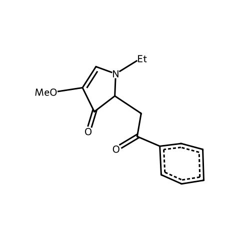 CCN1C=C(OC)C(=O)C1CC(=O)c1ccccc1